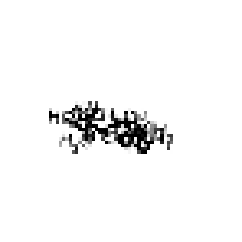 COc1cc(CO)c(OC)c(OC)c1CC=C(C)CCC=C(C)CO[Si](c1ccccc1)(c1ccccc1)C(C)(C)C